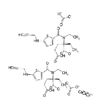 C#CCNc1ccc(C(=O)N(CC)[C@@](CC)(CCC(=O)O)C(=O)[O-])s1.C#CCNc1ccc(C(=O)N(CC)[C@@](CC)(CCC(=O)O)C(=O)[O-])s1.O=C([O-])[O-].O=C([O-])[O-].[Ca+2].[Ca+2].[Ca+2]